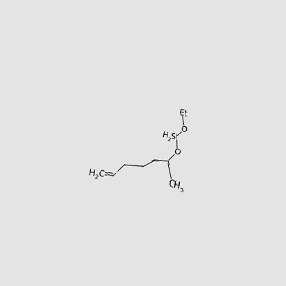 C=CCCCC(C)O[SiH2]OCC